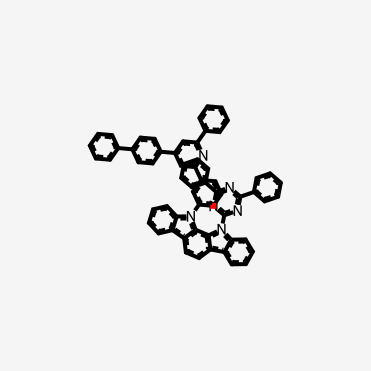 c1ccc(-c2ccc(-c3cc(-c4ccccc4)nc(-c4cccc(-n5c6ccccc6c6ccc7c8ccccc8n(-c8nc(-c9ccccc9)nc(-c9ccccc9)n8)c7c65)c4)c3)cc2)cc1